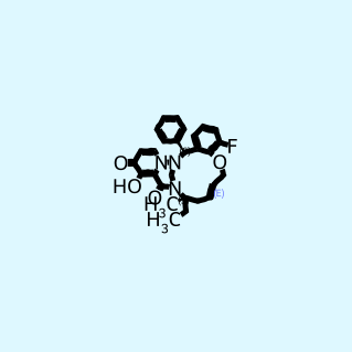 CC[C@@]1(C)C/C=C/COc2c(F)cccc2[C@H](c2ccccc2)N2CN1C(=O)c1c(O)c(=O)ccn12